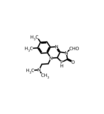 Cc1cc2c(cc1C)N(CCN(C)C)C1PC(=O)N(C=O)C1=N2